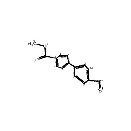 COC(=O)c1ccc(-c2ccc(CCl)cc2)cc1